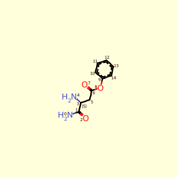 NC(=O)[C@@H](N)CC(=O)Oc1ccccc1